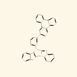 c1cc(-c2ccc3c4ccccc4c4ccccc4c3c2)cc(-n2c3c4ccccc4oc3n3c4ccccc4nc23)c1